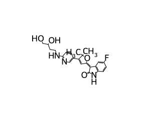 CC1(C)O/C(=C2/C(=O)Nc3ccc(F)cc32)C=C1c1ccc(NCCC(O)CO)nc1